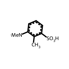 C[N]c1cccc(S(=O)(=O)O)c1C